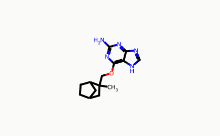 CC1(COc2nc(N)nc3nc[nH]c23)CC2CCC1C2